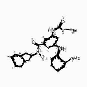 COc1ccccc1Nc1cc(NC(=O)OC(C)(C)C)cc(C(=O)N(C)C2Cc3ccccc3C2)n1